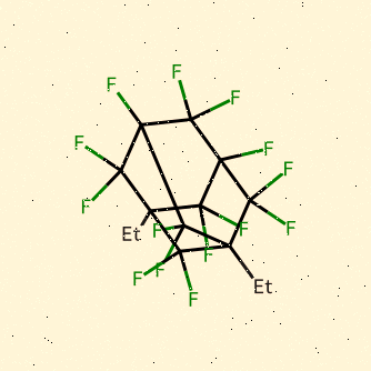 CCC12C(F)(F)C3(F)C(F)(F)C(F)(C1(F)F)C(F)(F)C(CC)(C3(F)F)C2(F)F